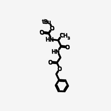 CC(NC(=O)OC(C)(C)C)C(=O)NCC(=O)OCc1ccccc1